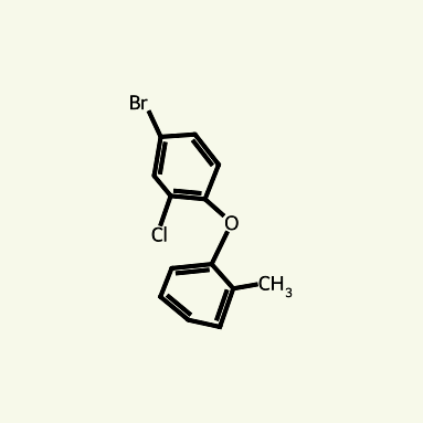 Cc1ccccc1Oc1ccc(Br)cc1Cl